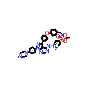 CC(=O)ON(Cc1ccc(Oc2ccc(-c3nn(C4CCC(N5CCN(C)CC5)CC4)c4ncnc(N)c34)cc2)cc1)S(=O)(=O)c1ccccc1